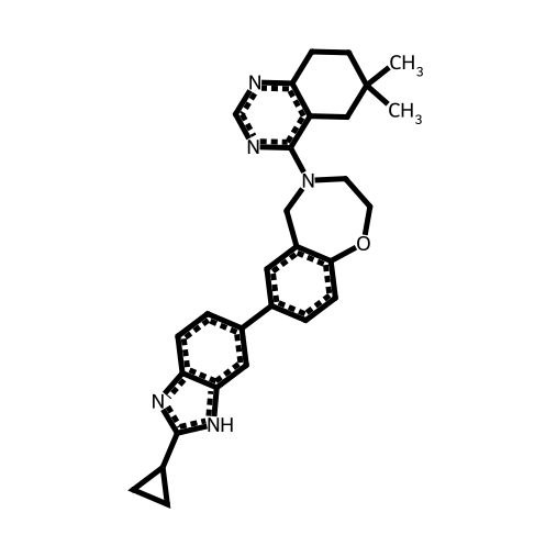 CC1(C)CCc2ncnc(N3CCOc4ccc(-c5ccc6nc(C7CC7)[nH]c6c5)cc4C3)c2C1